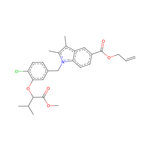 C=CCOC(=O)c1ccc2c(c1)c(C)c(C)n2Cc1ccc(Cl)c(OC(C(=O)OC)C(C)C)c1